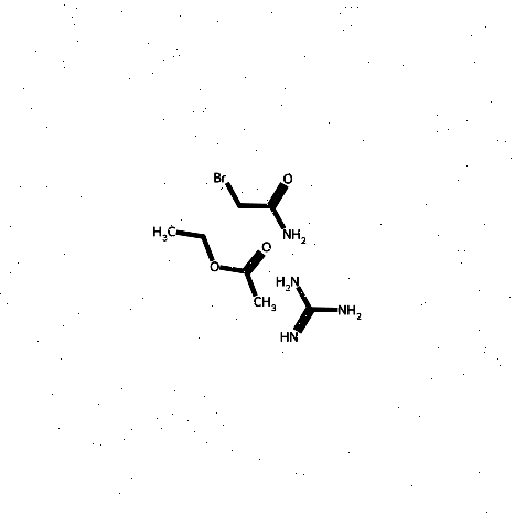 CCOC(C)=O.N=C(N)N.NC(=O)CBr